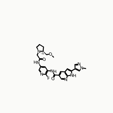 COC[C@@H]1CCCN1CC(=O)Nc1cnc(F)c(NC(=O)c2cnc3[nH]c(-c4cnn(C)c4)cc3c2)c1